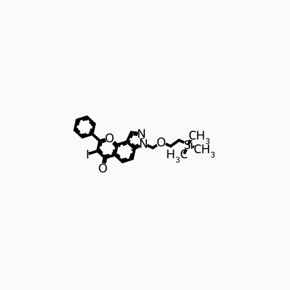 C[Si](C)(C)CCOCn1ncc2c3oc(-c4ccccc4)c(I)c(=O)c3ccc21